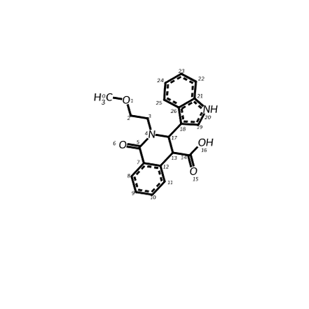 COCCN1C(=O)c2ccccc2C(C(=O)O)C1c1c[nH]c2ccccc12